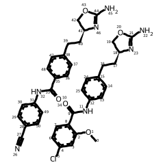 COc1cc(Cl)ccc1C(=O)Nc1ccc(CC[C@H]2COC(N)=N2)cc1.N#Cc1ccc(NC(=O)c2ccc(CC[C@H]3COC(N)=N3)cc2)cc1